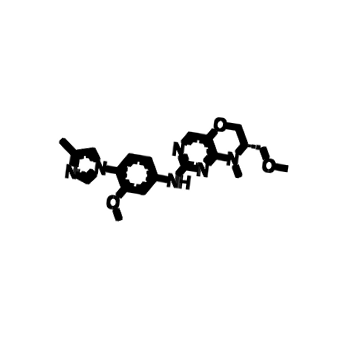 COC[C@H]1COc2cnc(Nc3ccc(-n4cnc(C)c4)c(OC)c3)nc2N1C